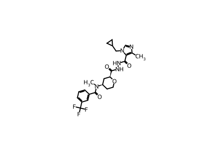 Cc1ncn(CC2CC2)c1C(=O)NNC(=O)[C@@H]1C[C@H](N(C)C(=O)c2cccc(C(F)(F)F)c2)CCO1